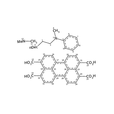 CCCCCCCCCCCCN(C)c1ccccc1.CNC.O=C(O)c1ccc2c3ccc(C(=O)O)c4c(C(=O)O)ccc(c5ccc(C(=O)O)c1c25)c43